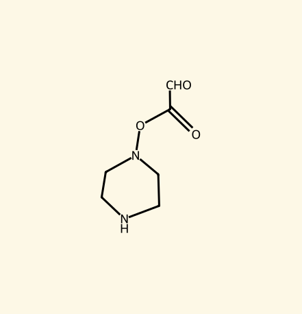 O=CC(=O)ON1CCNCC1